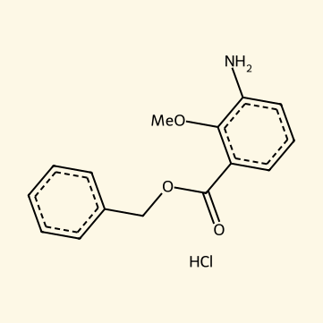 COc1c(N)cccc1C(=O)OCc1ccccc1.Cl